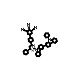 N#Cc1cc(-c2ccc(-c3cc(-c4ccccc4)nc(-n4c5ccccc5c5cc(-c6ccc7c8ccccc8n(-c8ccccc8)c7c6)ccc54)n3)cc2)cc(C#N)c1C#N